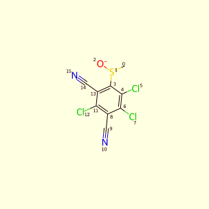 C[S+]([O-])c1c(Cl)c(Cl)c(C#N)c(Cl)c1C#N